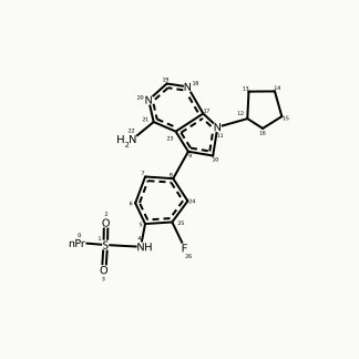 CCCS(=O)(=O)Nc1ccc(-c2cn(C3CCCC3)c3ncnc(N)c23)cc1F